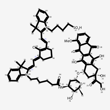 COc1cccc2c1C(=O)c1c(O)c3c(c(O)c1C2=O)C[C@@](O)(C(=O)CO)C[C@@H]3O[C@H]1C[C@H](NC(=O)CCCCCN2/C(=C/C=C3\CCCC(/C=C/C4=[N+](CCCCS(=O)(=O)O)c5ccccc5C4(C)C)=C3Cl)C(C)(C)c3ccccc32)[C@@H](O)[C@H](C)O1